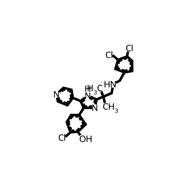 CC(C)(CNCc1ccc(Cl)c(Cl)c1)c1nc(-c2ccc(Cl)c(O)c2)c(-c2ccncc2)[nH]1